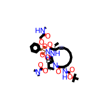 CC[C@]1(C(=O)NS(=O)(=O)c2ccccc2OCC(=O)NC)/C=C\CCCCC[C@H](NC(=O)OC(C)(C)C)C(=O)N2C[C@H](OC(=O)N(C)C)C[C@H]2C(=O)N1